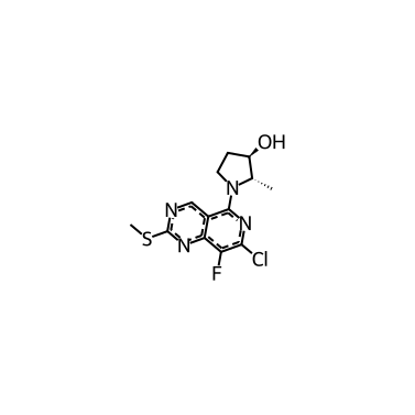 CSc1ncc2c(N3CC[C@@H](O)[C@@H]3C)nc(Cl)c(F)c2n1